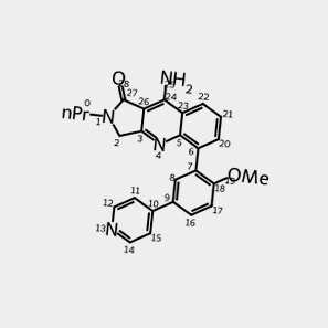 CCCN1Cc2nc3c(-c4cc(-c5ccncc5)ccc4OC)cccc3c(N)c2C1=O